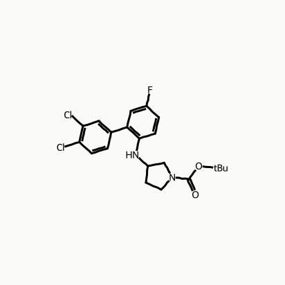 CC(C)(C)OC(=O)N1CCC(Nc2ccc(F)cc2-c2ccc(Cl)c(Cl)c2)C1